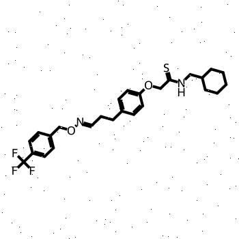 FC(F)(F)c1ccc(CON=CCCc2ccc(OCC(=S)NCC3CCCCC3)cc2)cc1